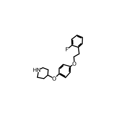 Fc1ccccc1CCOc1ccc(OC2CCNCC2)cc1